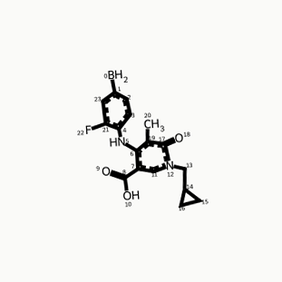 Bc1ccc(Nc2c(C(=O)O)cn(CC3CC3)c(=O)c2C)c(F)c1